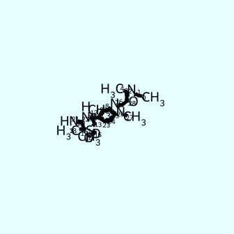 Cc1nc(C)c(-c2nc3cc([C@]4(C)CS(=O)(=O)C(C)(C)C(=N)N4)ccc3n2C)o1